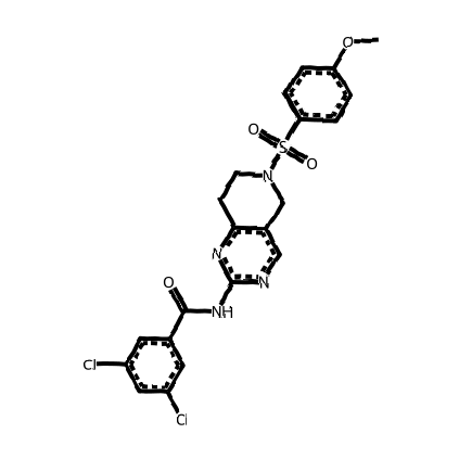 COc1ccc(S(=O)(=O)N2CCc3nc(NC(=O)c4cc(Cl)cc(Cl)c4)ncc3C2)cc1